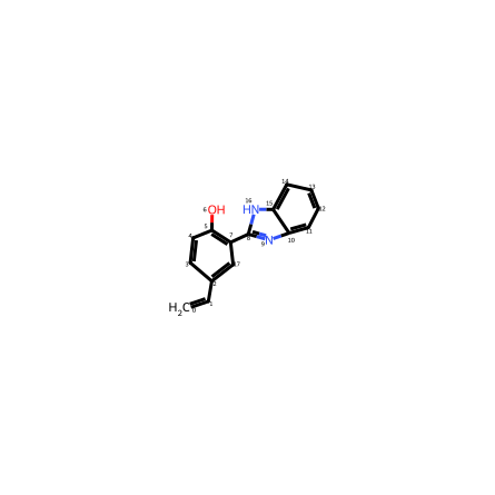 C=Cc1ccc(O)c(-c2nc3ccccc3[nH]2)c1